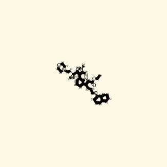 CCOC(=O)c1[nH]c2c(-c3c([C@@H](CCN4CCOCC4)NC)nn(C)c3C)cccc2c1CCCOc1cccc2ccccc12